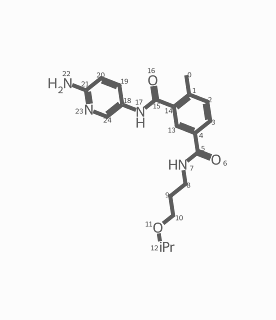 Cc1ccc(C(=O)NCCCOC(C)C)cc1C(=O)Nc1ccc(N)nc1